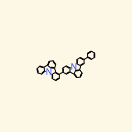 c1ccc(-c2ccc3c(c2)c2cccc4c5cc(-c6cccc7c6c6cccc8c9ccccc9n7c86)ccc5n3c24)cc1